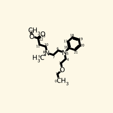 CCOCCN(CCN(C)CCC(=O)OC)c1ccccc1